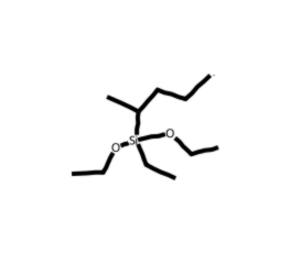 [CH2]CCC(C)[Si](CC)(OCC)OCC